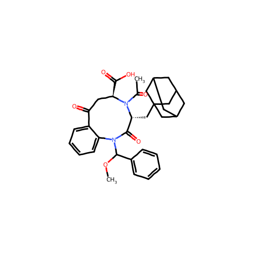 COC(c1ccccc1)N1C(=O)[C@@H](CC23CC4CC(CC(C4)C2)C3)N(C(C)=O)[C@H](C(=O)O)CC(=O)c2ccccc21